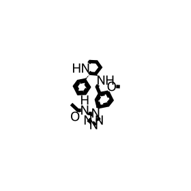 COc1ccc(-n2nnnc2NC(C)=O)cc1CN[C@H]1CCCN[C@H]1c1ccccc1